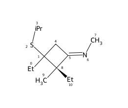 CCC1(SC(C)C)C/C(=N\C)[C@@]1(C)CC